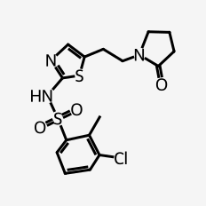 Cc1c(Cl)cccc1S(=O)(=O)Nc1ncc(CCN2CCCC2=O)s1